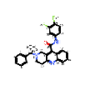 C[C@@H](c1ccccc1)N1CCc2nc3ccccc3c(C(=O)Nc3ccc(F)c(F)c3)c2C1